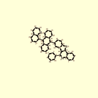 c1ccc(-c2nc3ccccc3c3nc4ccc(-c5c6ccccc6c(-c6cccc7cccnc67)c6ccccc56)cn4c23)cc1